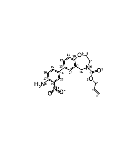 C=CCOC(=O)N1CCOc2ccc(-c3ccc(N)c([N+](=O)[O-])c3)cc2C1